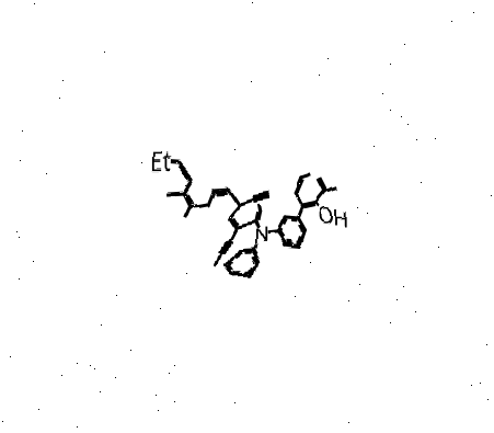 C#CC(/C=C\C/C(C)=C(C)\C=C/CC)/C=C(C#CC)\C(=C/C)N(c1ccccc1)c1cccc(C(/C=C\C)=C(\O)C(=C)C)c1